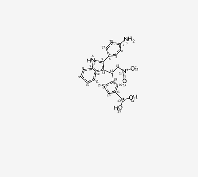 Nc1ccc(-c2[nH]c3ccccc3c2C(C[N+](=O)[O-])c2cc(B(O)O)cs2)cc1